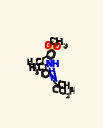 CC(CNc1cccc(C2Nc3ccc(S(C)(=O)=O)cc3CC2(C)C)c1)C(=O)O